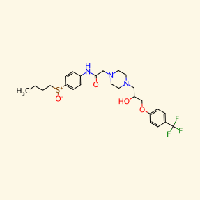 CCCC[S+]([O-])c1ccc(NC(=O)CN2CCN(CC(O)COc3ccc(C(F)(F)F)cc3)CC2)cc1